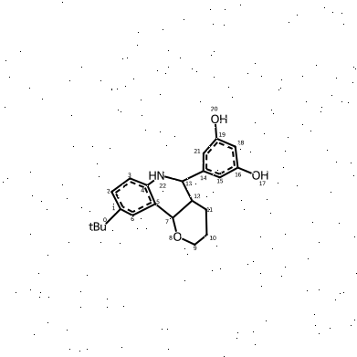 CC(C)(C)c1ccc2c(c1)C1OCCCC1C(c1cc(O)cc(O)c1)N2